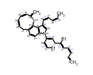 C=C/C=C\C=C(/CC)C/C=C(\C=C/CC)n1cc(/C=C\C=C/C)c2c3c(ccc21)C/C=C\C=C/C(=C)S3